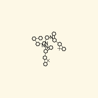 CC1(C)c2ccccc2-c2ccc(-c3ccc4c(c3)c3ccccc3n4-c3cccc(-c4cc(-c5cccc(-c6ccccc6-c6ccccc6)c5)nc(-n5c6ccccc6c6cc(-c7ccc8c(c7)C(C)(C)c7ccccc7-8)ccc65)n4)c3)cc21